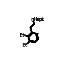 CCCCCCCCCc1[c]ccc(CC)c1CC